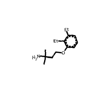 CCc1cccc(OCCC(C)(C)N)c1CC